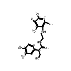 CC(C)(C)CC(C(=O)NCCNc1c(Cl)nc(Cl)c(Cl)c1C#N)c1ccc(O)c(C(C)(C)C)c1